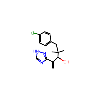 C=C(c1nc[nH]n1)C(O)C(C)(C)Cc1ccc(Cl)cc1